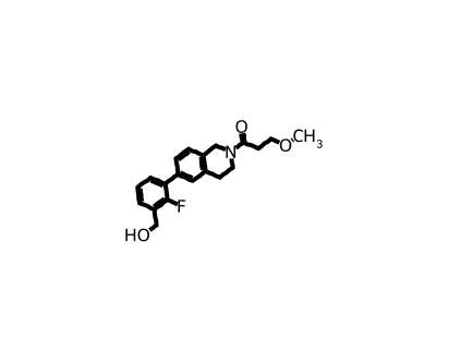 COCCC(=O)N1CCc2cc(-c3cccc(CO)c3F)ccc2C1